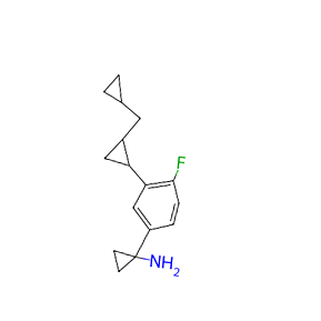 NC1(c2ccc(F)c(C3CC3CC3CC3)c2)CC1